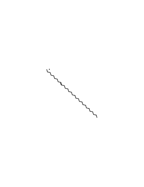 [CH2]CCCCCCC/C=C/CCCCCCCCCCCCCCCCCCCC